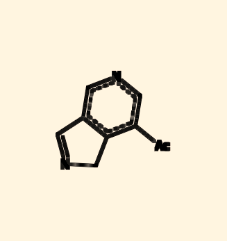 CC(=O)c1cncc2c1CN=C2